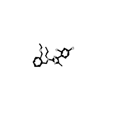 CCCN(Cc1ccccc1COCC)c1nc(-c2ccc(Cl)cc2Cl)c(C)s1